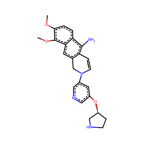 COc1ccc2c(N)c3c(cc2c1OC)CN(c1cncc(O[C@H]2CCNC2)c1)C=C3